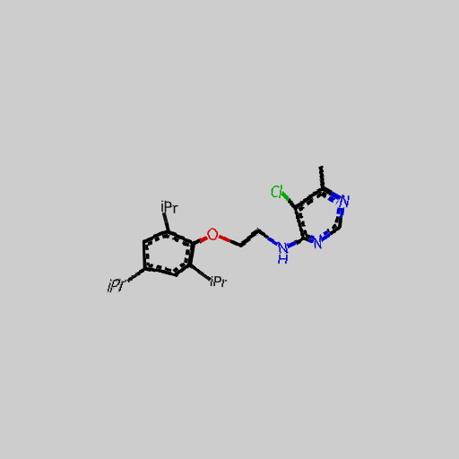 Cc1ncnc(NCCOc2c(C(C)C)cc(C(C)C)cc2C(C)C)c1Cl